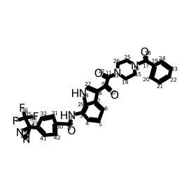 O=C(Nc1cccc2c(C(=O)C(=O)N3CCN(C(=O)c4ccccc4)CC3)c[nH]c12)c1ccc(C2(C(F)(F)F)N=N2)cc1